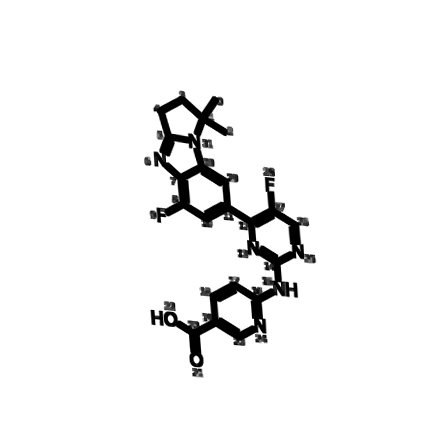 CC1(C)CCc2nc3c(F)cc(-c4nc(Nc5ccc(C(=O)O)cn5)ncc4F)cc3n21